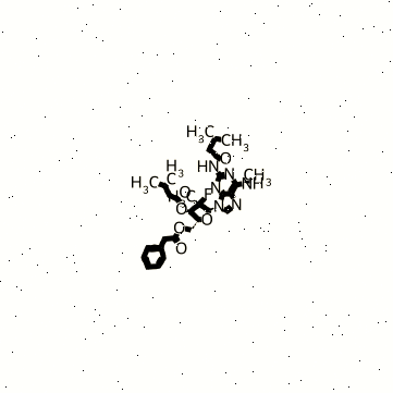 CNc1nc(NC(=O)CC(C)C)nc2c1ncn2[C@@H]1O[C@H](COC(=O)Cc2ccccc2)[C@@H](OC(=O)CC(C)C)[C@@]1(C)F